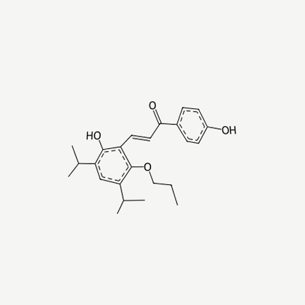 CCCOc1c(C(C)C)cc(C(C)C)c(O)c1C=CC(=O)c1ccc(O)cc1